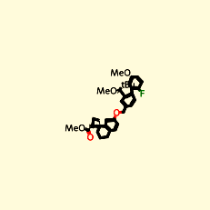 COC(=O)[C@@H]1CC[C@]12CCCc1ccc(OCc3ccc(-c4cc(OC)ccc4F)c([C@H](OC)C(C)(C)C)c3)cc12